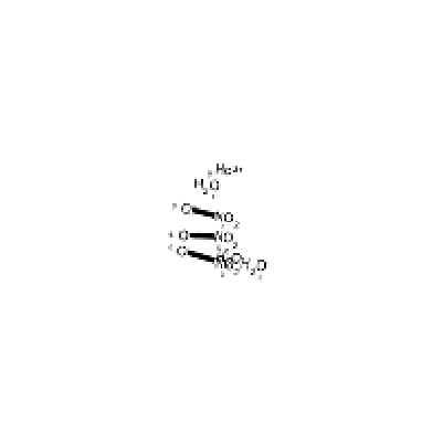 O.O.O.O=[N+]([O-])[O-].O=[N+]([O-])[O-].O=[N+]([O-])[O-].[Ho+3]